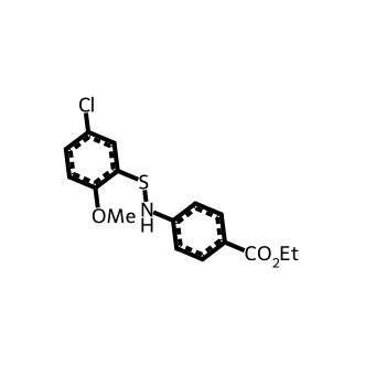 CCOC(=O)c1ccc(NSc2cc(Cl)ccc2OC)cc1